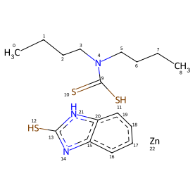 CCCCN(CCCC)C(=S)S.Sc1nc2ccccc2[nH]1.[Zn]